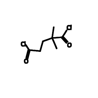 CC(C)(CCC(=O)Cl)C(=O)Cl